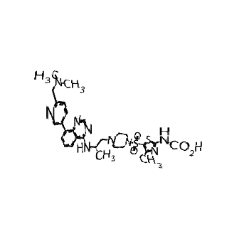 Cc1nc(NC(=O)O)sc1S(=O)(=O)N1CCN(C[C@H](C)Nc2ncnc3c(-c4ccc(CN(C)C)nc4)cccc23)CC1